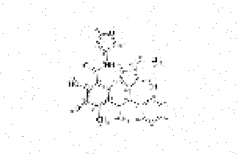 C[C@H](c1nc(C(=O)Nc2cnoc2)c(O)c(=O)n1C)[C@H](c1cnn(CC(F)(F)F)c1)c1ccccc1C#N